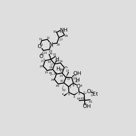 CCO[C@@H]([C@H]1C[C@@H](C)C2[C@H](O1)[C@H](O)[C@@]1(C)[C@@H]3CC[C@@H]4C(CC[C@H](O[C@H]5CN(CC6CNC6)CCO5)C4(C)C)[C@]3(C)CC[C@]21C)C(C)(C)O